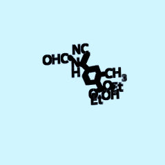 CCOC(O)(OCC)c1ccc(C(=CC#N)NCC=O)cc1C